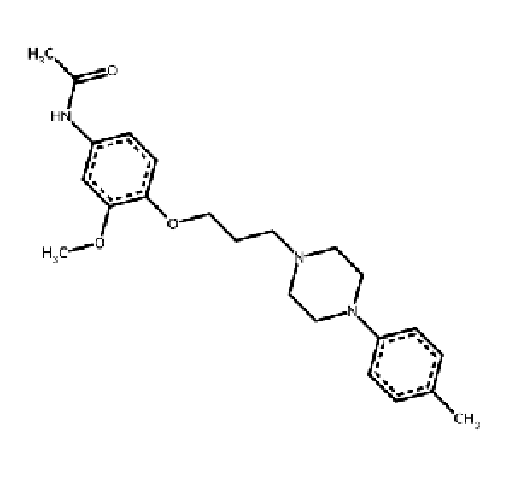 COc1cc(NC(C)=O)ccc1OCCCN1CCN(c2ccc(C)cc2)CC1